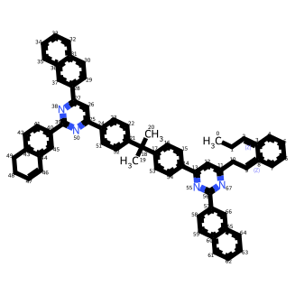 CC/C=c1/cccc/c1=C/Cc1cc(-c2ccc(C(C)(C)c3ccc(-c4cc(-c5ccc6ccccc6c5)nc(-c5ccc6c(c5)C=CCC6)n4)cc3)cc2)nc(-c2ccc3ccccc3c2)n1